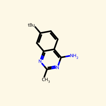 Cc1nc(N)c2ccc(C(C)(C)C)cc2n1